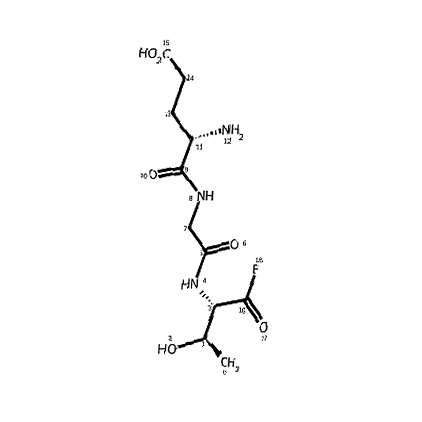 C[C@@H](O)[C@H](NC(=O)CNC(=O)[C@@H](N)CCC(=O)O)C(=O)F